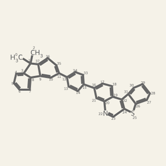 CC1(C)c2ccccc2-c2cc(-c3ccc(-c4ccc5c(c4)ncc4sc6ccccc6c45)cc3)ccc21